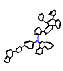 c1ccc(-c2c(-c3ccccc3)c3cc(-c4cccc(N(c5ccc(-c6ccc(-c7ccc8ccccc8c7)cc6)cc5)c5cc6ccccc6c6ccccc56)c4)ccc3c3ccccc23)cc1